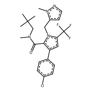 CN(CC(C)(C)C)C(=O)c1c(-c2ccc(Cl)cc2)cc(C(F)(F)F)n1Cc1ccnn1C